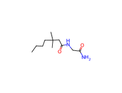 CCCCC(C)(C)CC(=O)NCC(N)=O